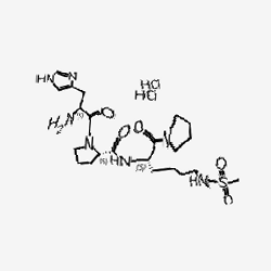 CS(=O)(=O)NCCCC[C@H](NC(=O)[C@@H]1CCCN1C(=O)[C@@H](N)Cc1c[nH]cn1)C(=O)N1CCCC1.Cl.Cl